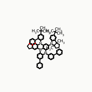 CC(C)(C)c1ccc(N2c3cc4c(cc3B3c5ccc(-c6ccccc6)cc5N(c5cccc(-c6ccccc6)c5)c5cc(N6c7ccc(C(C)(C)C)cc7C7(C)CCCC67C)cc2c53)CCC4)c(-c2ccccc2)c1